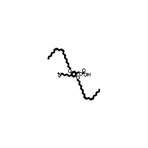 CCCCC/C=C\C/C=C\CCCCCCCCOc1cc(COC(=O)O)c(OCCCCCCCC/C=C\C/C=C\CCCCC)cc1CCCCN(C)C